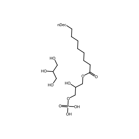 CCCCCCCCCCCCCCCCCC(=O)OCC(O)COP(=O)(O)O.OCC(O)CO